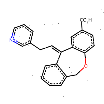 O=C(O)c1ccc2c(c1)/C(=C/Cc1cccnc1)c1ccccc1CO2